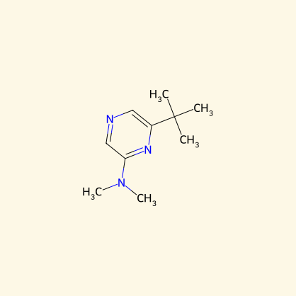 CN(C)c1cncc(C(C)(C)C)n1